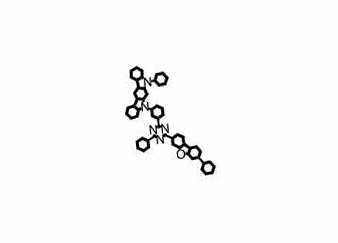 c1ccc(-c2ccc3c(c2)oc2cc(-c4nc(-c5ccccc5)nc(-c5cccc(-n6c7ccccc7c7cc8c9ccccc9n(-c9ccccc9)c8cc76)c5)n4)ccc23)cc1